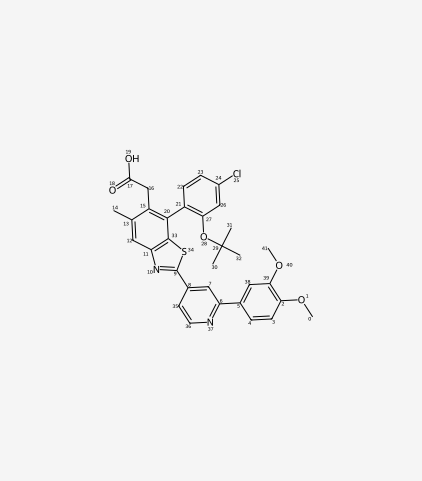 COc1ccc(-c2cc(-c3nc4cc(C)c(CC(=O)O)c(-c5ccc(Cl)cc5OC(C)(C)C)c4s3)ccn2)cc1OC